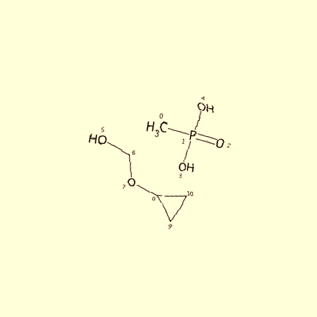 CP(=O)(O)O.OCOC1CC1